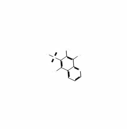 Cc1c(S(=O)(=O)O)c(N)c2cccnc2c1O